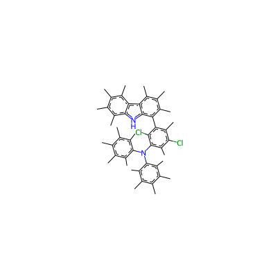 Cc1c(C)c(C)c(N(c2c(C)c(C)c(C)c(C)c2C)c2c(C)c(Cl)c(C)c(-c3c(C)c(C)c(C)c4c3[nH]c3c(C)c(C)c(C)c(C)c34)c2Cl)c(C)c1C